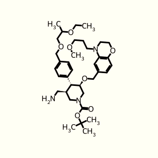 CCOC(C)COCc1ccc([C@H]2[C@H](CN)CN(C(=O)OC(C)(C)C)C[C@@H]2OCc2ccc3c(c2)N(CCCOC)CCO3)cc1